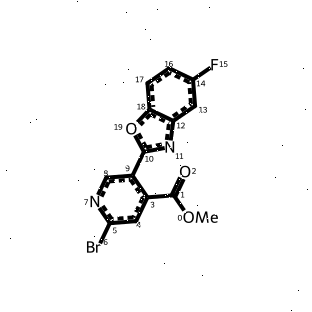 COC(=O)c1cc(Br)ncc1-c1nc2cc(F)ccc2o1